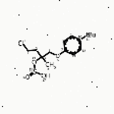 CC(CCCl)(COc1ccc(C(C)(C)C)cc1)OS(=O)O